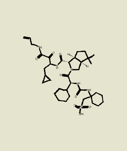 C=CCNC(=O)C(=O)C(CC1CC1)NC(=O)[C@@H]1[C@H]2CCC(C)(C)[C@H]2CN1C(=O)[C@@H](NC(=O)NC1(CS(=O)(=O)C(C)(C)C)CCCCC1)C1CCCCC1